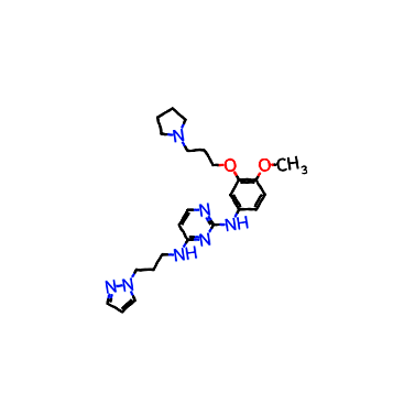 COc1ccc(Nc2nccc(NCCCn3cccn3)n2)cc1OCCCN1CCCC1